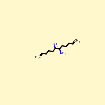 C=CCCCC(N)C(N)CCCC=C